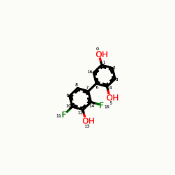 Oc1ccc(O)c(-c2ccc(F)c(O)c2F)c1